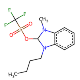 CCCCN1c2ccccc2N(C)C1OS(=O)(=O)C(F)(F)F